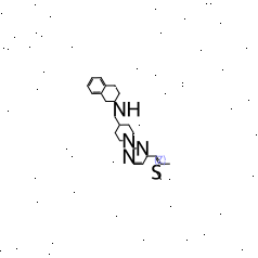 CS/C(C)=C\c1ccnc(N2CCC(CNC3CCc4ccccc4C3)CC2)n1